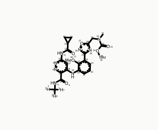 [2H]C([2H])([2H])NC(=O)c1nnc(NC(=O)C2CC2)cc1Nc1cccc(-c2noc(CN(C)C(=O)OC(C)(C)C)n2)c1OC